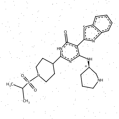 CC(C)S(=O)(=O)N1CCC(c2nc(N[C@@H]3CCCNC3)c(-c3nc4ccccc4s3)c(=O)[nH]2)CC1